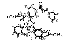 Cc1nc2cc(N(CC[C@@H]3CN(C(=O)OCc4ccccc4)CCN3C(=O)OC(C)(C)C)S(=O)(=O)c3ccccc3N)ccc2s1